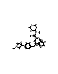 Cn1cc(-c2ccc(Cc3cc(C(=O)NC4CCOCC4)nc4ccsc34)cc2)nn1